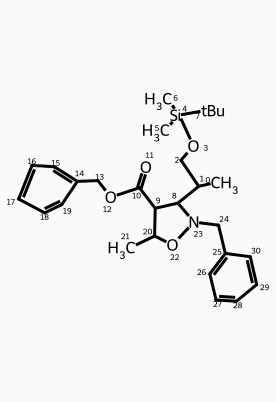 CC(CO[Si](C)(C)C(C)(C)C)C1C(C(=O)OCc2ccccc2)C(C)ON1Cc1ccccc1